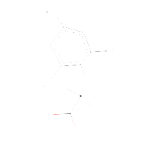 Cc1cc(C=O)cc(C)c1OC(C)(C)C(O)OC(C)(C)C